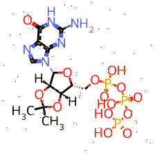 CC1(C)O[C@@H]2[C@H](O1)[C@H](n1cnc3c(=O)[nH]c(N)nc31)O[C@@H]2COP(=O)(O)OP(=O)(O)OP(=O)(O)O